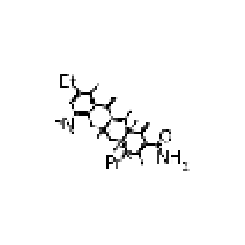 C=C1C2=C(C)[C@]3(C)C(=C)C(C(N)=O)=C(C)[C@@H](C(C)C)[C@]3(C)C[C@]2(C)Cc2c(N(C)C)cc(CC)c(C)c21